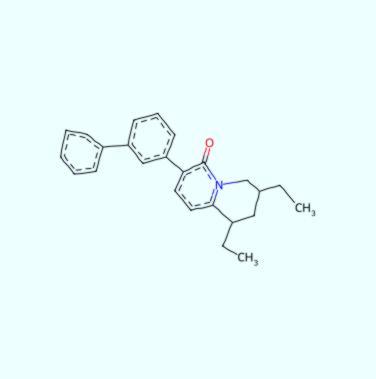 CCC1CC(CC)c2ccc(-c3cccc(-c4ccccc4)c3)c(=O)n2C1